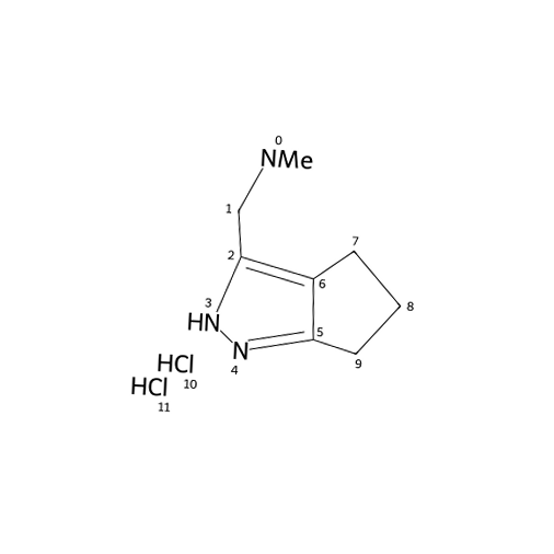 CNCc1[nH]nc2c1CCC2.Cl.Cl